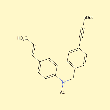 CCCCCCCCC#Cc1ccc(CN(C(C)=O)c2ccc(C=CC(=O)O)cc2)cc1